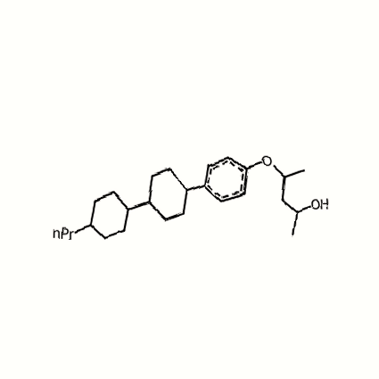 CCCC1CCC(C2CCC(c3ccc(OC(C)CC(C)O)cc3)CC2)CC1